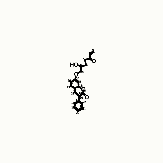 C=CC(=O)CCC(O)COC1=CC2OC(=O)C(c3ccccc3)=CC2C=C1